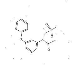 CC(=O)[C@@H](CS(C)(=O)=O)c1cccc(Oc2ccccc2)c1